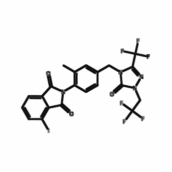 Cc1cc(Cn2c(C(F)(F)F)nn(CC(F)(F)F)c2=O)ccc1N1C(=O)c2cccc(I)c2C1=O